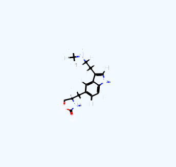 [2H]c1c(C([2H])([2H])[C@@]2([2H])COC(=O)N2[2H])c([2H])c2c(C([2H])([2H])C([2H])([2H])N(C)C([2H])([2H])[2H])c([2H])n([2H])c2c1[2H]